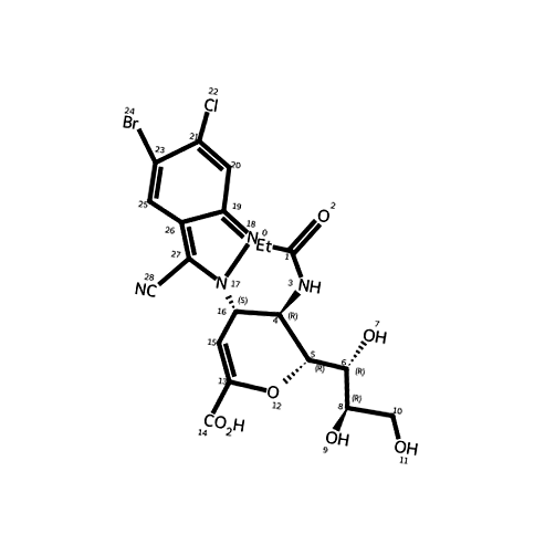 CCC(=O)N[C@H]1[C@H]([C@H](O)[C@H](O)CO)OC(C(=O)O)=C[C@@H]1n1nc2cc(Cl)c(Br)cc2c1C#N